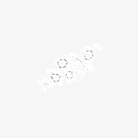 COc1cccc(OC)c1-n1c(N[S+]([O-])C(C)C(OC)c2ncc(C)cn2)nnc1-c1ccc(OC(F)(F)F)cc1